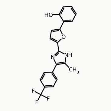 Cc1[nH]c(-c2ccc(-c3ccccc3O)o2)nc1-c1ccc(C(F)(F)F)cc1